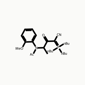 CCCCP(CCCC)(CCCC)=C(C#N)C(=O)C(C)N(C(C)=O)c1ccccc1OC